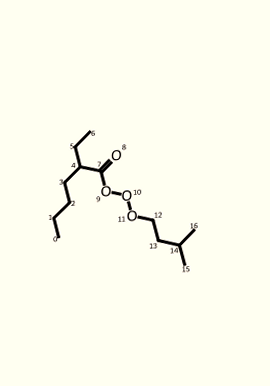 CCCCC(CC)C(=O)OOOCCC(C)C